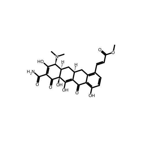 COC(=O)/C=C/c1ccc(O)c2c1C[C@@H]1C[C@@H]3[C@H](N(C)C)C(O)=C(C(N)=O)C(=O)[C@@]3(O)C(O)=C1C2=O